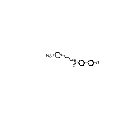 CN1CCN(CCCCNC(=O)c2ccc(-c3ccc(Cl)cc3)cc2)CC1